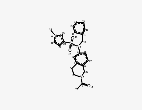 CC(=O)N1CCc2cc(N(Cc3ccccc3)S(=O)(=O)c3ccn(C)n3)ccc2C1